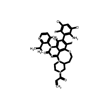 C=CC(=O)N1CCN2c3nc(=O)n(-c4c(C)ccnc4C(C)C)c4c(Cl)c(-c5c(N)c(Cl)cc(Cl)c5F)c(F)c(c34)OCCC2C1